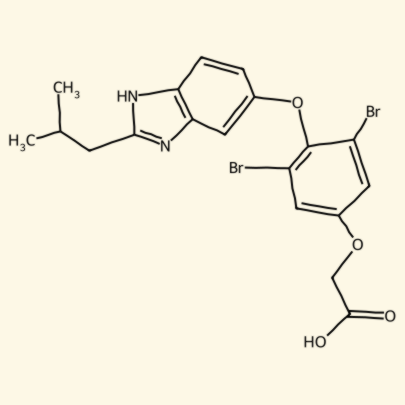 CC(C)Cc1nc2cc(Oc3c(Br)cc(OCC(=O)O)cc3Br)ccc2[nH]1